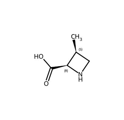 C[C@H]1CN[C@H]1C(=O)O